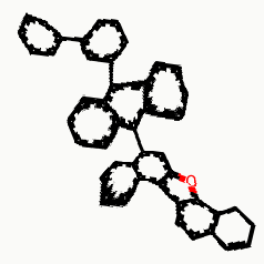 C1=Cc2ccc3c(oc4cc(-c5c6ccccc6c(-c6cccc(-c7ccccc7)c6)c6ccccc56)c5ccccc5c43)c2CC1